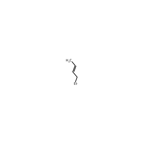 C[CH]C/[C]=C/C